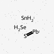 [S]=[Pb].[SeH2].[SnH2]